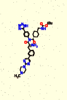 CN1CCN(c2ncc(-c3cccc(C[C@H](N)C(=O)N(c4ccc(-c5nnn[nH]5)cc4)C(=O)[C@H]4CC[C@H](CNC(=O)OC(C)(C)C)CC4)c3)cn2)CC1